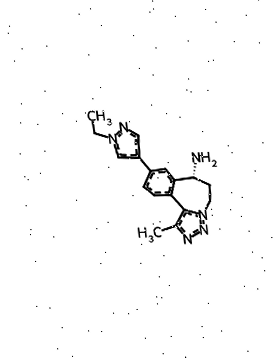 CCn1cc(-c2ccc3c(c2)[C@H](N)CCn2nnc(C)c2-3)cn1